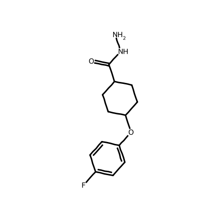 NNC(=O)C1CCC(Oc2ccc(F)cc2)CC1